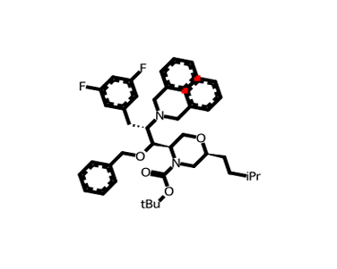 CC(C)CC[C@H]1CN(C(=O)OC(C)(C)C)[C@@H](C(OCc2ccccc2)[C@H](Cc2cc(F)cc(F)c2)N(Cc2ccccc2)Cc2ccccc2)CO1